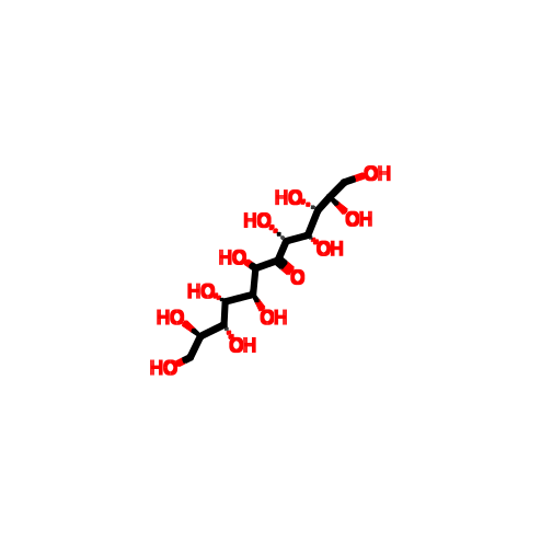 O=C(C(O)[C@@H](O)[C@@H](O)[C@H](O)[C@H](O)CO)[C@H](O)[C@@H](O)[C@H](O)[C@H](O)CO